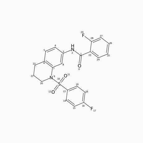 O=C(Nc1ccc2c(c1)N(S(=O)(=O)c1ccc(F)cc1)CCC2)c1ccccc1F